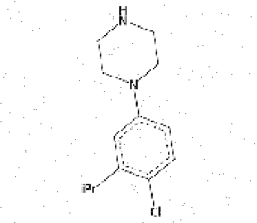 CC(C)c1cc(N2CCNCC2)ccc1Cl